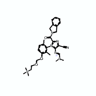 Cc1ccc(OCOCC[Si](C)(C)C)c(C)c1-n1c(C(=O)N2Cc3ccccc3C2)nc(C#N)c1/N=C/N(C)C